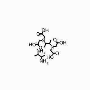 CC(C(C)N(CC(=O)O)CC(=O)O)N(CC(=O)O)CC(=O)O.CC(N)C(C)N